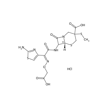 CSC1(C(=O)O)CS[C@@H]2C(NC(=O)C(=NOCC(=O)O)c3csc(N)n3)C(=O)N2C1.Cl